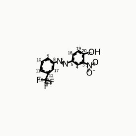 O=[N+]([O-])c1cc(/N=N/c2cccc(C(F)(F)F)c2)ccc1O